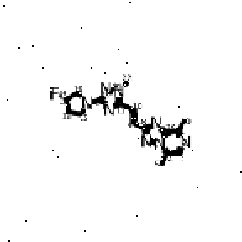 Cc1ncc(C)n2nc(C=Cc3nc(N4CC[C@H](F)C4)nn3C)nc12